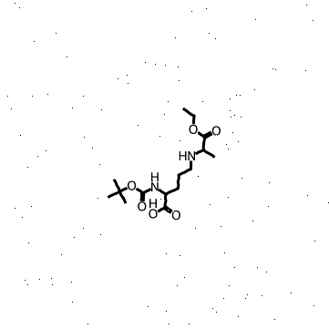 CCOC(=O)C(C)NCCCC(NC(=O)OC(C)(C)C)C(=O)O